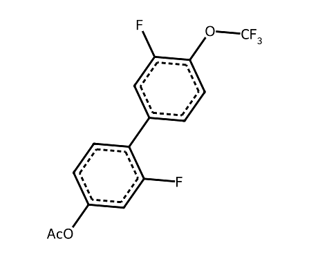 CC(=O)Oc1ccc(-c2ccc(OC(F)(F)F)c(F)c2)c(F)c1